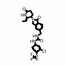 CC=C1NC(=O)CCC1N1Cc2cc(CNC(=O)Nc3ccc(SC(F)(F)F)c(Cl)c3)ccc2C1=O